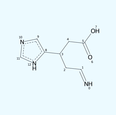 N=CCC(CC(=O)O)c1cnc[nH]1